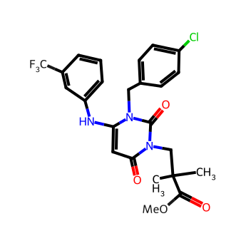 COC(=O)C(C)(C)Cn1c(=O)cc(Nc2cccc(C(F)(F)F)c2)n(Cc2ccc(Cl)cc2)c1=O